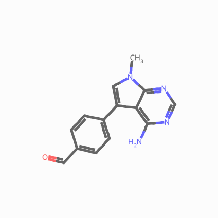 Cn1cc(-c2ccc(C=O)cc2)c2c(N)ncnc21